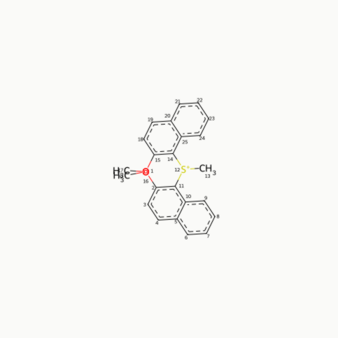 COc1ccc2ccccc2c1[S+](C)c1c(OC)ccc2ccccc12